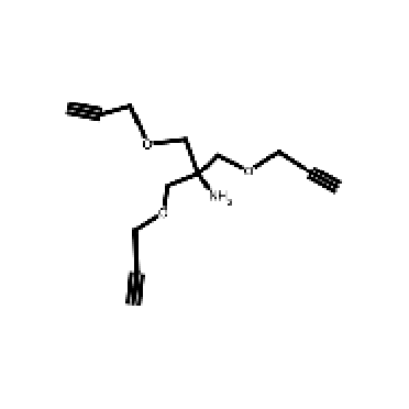 C#CCOCC(N)(COCC#C)COCC#C